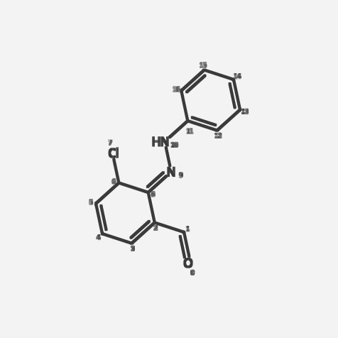 O=CC1=CC=CC(Cl)C1=NNc1ccccc1